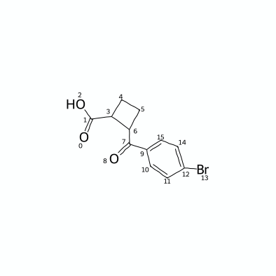 O=C(O)C1CCC1C(=O)c1ccc(Br)cc1